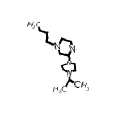 CCCCN1CC[N]C(N2CCN(C(C)C)CC2)C1